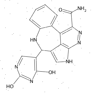 NC(=O)c1nnc2[nH]cc3c2c1-c1ccccc1NC3c1cnc(O)nc1O